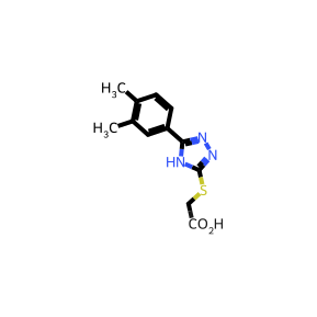 Cc1ccc(-c2nnc(SCC(=O)O)[nH]2)cc1C